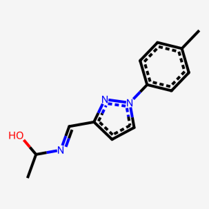 Cc1ccc(-n2ccc(/C=N/C(C)O)n2)cc1